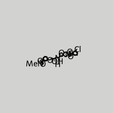 CNS(=O)(=O)c1cccc(OC[C@@H](O)CNC2COC3(CCN(S(=O)(=O)c4cccc(Cl)c4)CC3)C2)c1